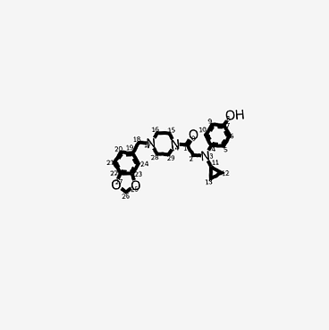 O=C(CN(c1ccc(O)cc1)C1CC1)N1CCN(Cc2ccc3c(c2)OCO3)CC1